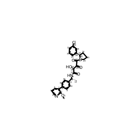 COc1ncccc1-c1ccc([C@@H](C)NC(=O)[C@H](O)C(=O)C(=O)N2CCC[C@@H]2c2cccc(Cl)c2)cc1